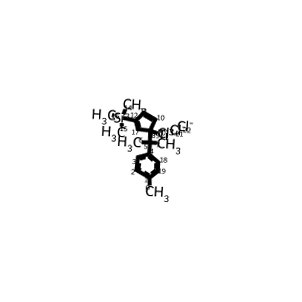 Cc1ccc(C(C)(C)[C]2([Ti+3])C=CC([Si](C)(C)C)=C2)cc1.[Cl-].[Cl-].[Cl-]